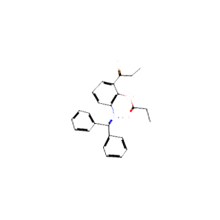 CCC(=O)Oc1c(N=C(c2ccccc2)c2ccccc2)cccc1C(=S)CC